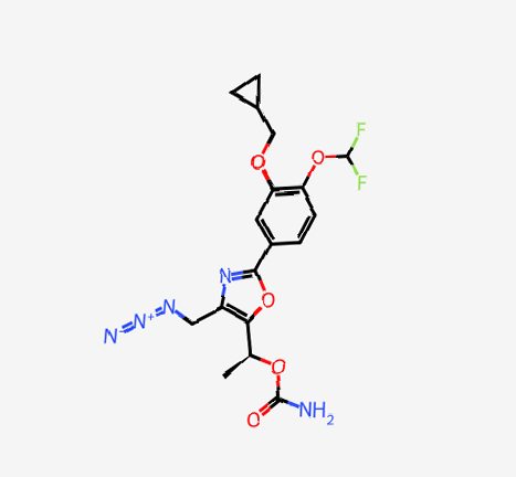 C[C@H](OC(N)=O)c1oc(-c2ccc(OC(F)F)c(OCC3CC3)c2)nc1CN=[N+]=[N-]